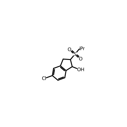 CC(C)S(=O)(=O)C1Cc2cc(Cl)ccc2C1O